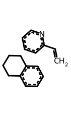 C=Cc1ccccn1.c1ccc2c(c1)CCCC2